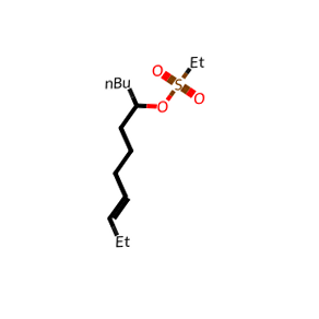 CC/C=C/CCCC(CCCC)OS(=O)(=O)CC